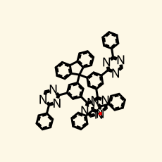 c1ccc(-c2ncnc(-c3cc(-c4ncnc(-c5ccccc5)n4)cc(C4(c5cc(-c6ncnc(-c7ccccc7)n6)cc(-c6ncnc(-c7ccccc7)n6)c5)c5ccccc5-c5ccccc54)c3)n2)cc1